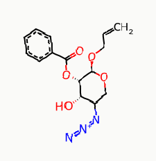 C=CCO[C@H]1OCC(N=[N+]=[N-])[C@H](O)[C@@H]1OC(=O)c1ccccc1